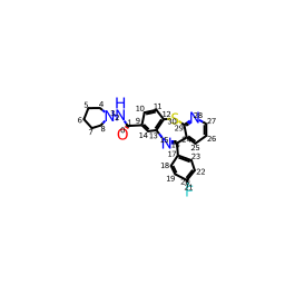 O=C(NN1CCCCC1)c1ccc2c(c1)N=C(c1ccc(F)cc1)c1cccnc1S2